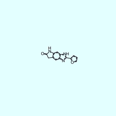 O=C1Cc2cc3nc(-c4ccco4)[nH]c3cc2N1